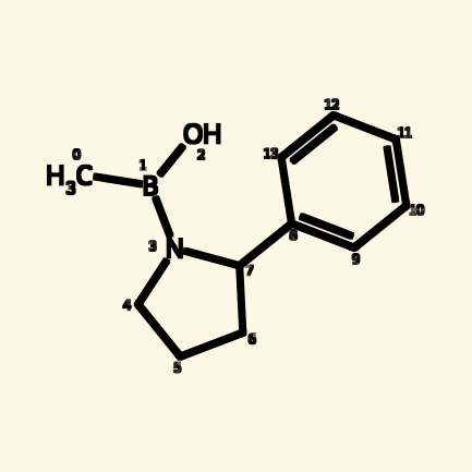 CB(O)N1CCCC1c1ccccc1